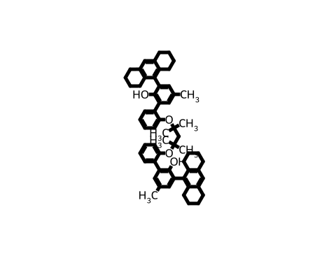 Cc1cc(-c2ccccc2OC(C)(C)CC(C)(C)Oc2ccccc2-c2cc(C)cc(-c3c4c(cc5c3CCCC5)CCCC4)c2O)c(O)c(-c2c3c(cc4c2CCCC4)CCCC3)c1